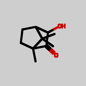 CC12CCC(C(O)C1=O)C2(C)C